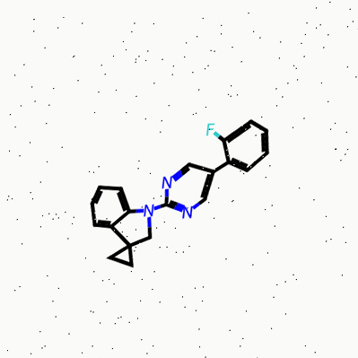 Fc1ccccc1-c1cnc(N2CC3(CC3)c3ccccc32)nc1